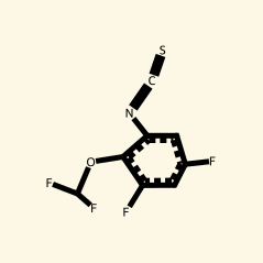 Fc1cc(F)c(OC(F)F)c(N=C=S)c1